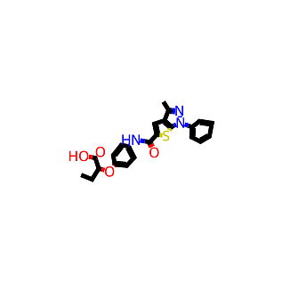 CCC(Oc1ccc(NC(=O)c2cc3c(C)nn(-c4ccccc4)c3s2)cc1)C(=O)O